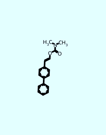 CN(C)C(=O)OC=Cc1ccc(-c2ccccc2)cc1